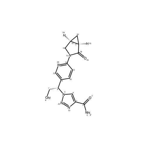 NC(=O)c1cn([C@H](CO)c2ccc(N3C[C@H]4C[C@H]4C3=O)nc2)nn1